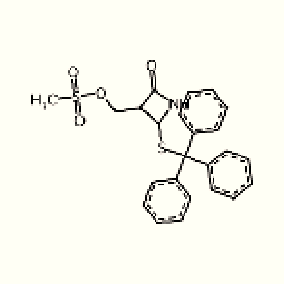 CS(=O)(=O)OCC1C(=O)NC1SC(c1ccccc1)(c1ccccc1)c1ccccc1